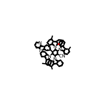 Cc1cccc2c1c1ccccc1n2-c1c(C#N)c(-n2c3ccccc3c3c(C)cccc32)c(-n2c3ccccc3c3c(C)cccc32)c(-c2ccc3c(c2)oc2cccnc23)c1-n1c2ccccc2c2c(C)cccc21